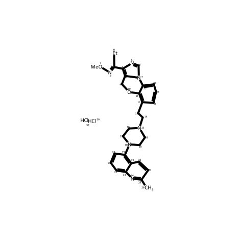 CCC(=NOC)c1ncn2c1COc1c(CCN3CCN(c4cccc5nc(C)ccc45)CC3)cccc1-2.Cl.Cl